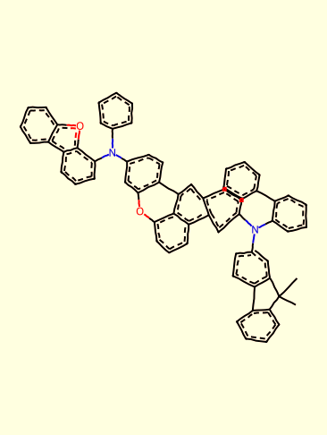 CC1(C)c2ccccc2-c2ccc(N(c3ccc4cc5c6c(cccc6c4c3)Oc3cc(N(c4ccccc4)c4cccc6c4oc4ccccc46)ccc3-5)c3ccccc3-c3ccccc3)cc21